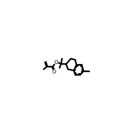 C=C(C)C(=O)OC(C)(C)C1CCc2cc(C)ccc2C1